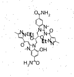 CCO[C@H](CN1/C(=C/C(=O)c2cc(C)nn2CC)N(C)c2cc(C(N)=O)cc(O)c21)[C@@H](Cn1/c(=N/C(=O)c2cc(C)nn2CC)n(C)c2cc(C(N)=O)ccc21)OCC